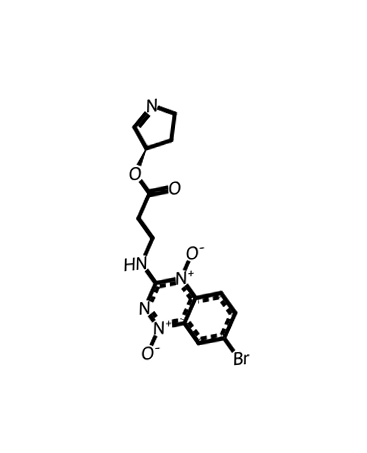 O=C(CCNc1n[n+]([O-])c2cc(Br)ccc2[n+]1[O-])O[C@H]1C=NCC1